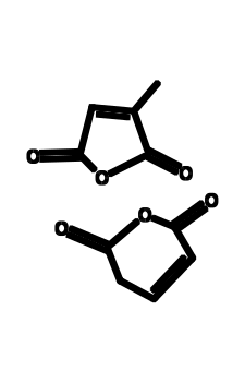 CC1=CC(=O)OC1=O.O=C1C=CCC(=O)O1